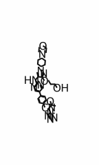 CC(Cn1cnnn1)Oc1cc(-c2cnc(Nc3cn(C4CCC(N5CCOCC5)CC4)nc3OCCCO)nc2)ccc1C#N